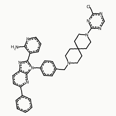 Nc1ncccc1-c1nc2ccc(-c3ccccc3)nc2n1-c1ccc(CN2CCC3(CC2)CCN(c2ncnc(Cl)n2)CC3)cc1